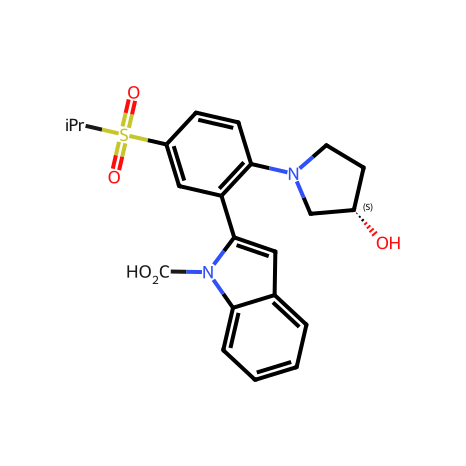 CC(C)S(=O)(=O)c1ccc(N2CC[C@H](O)C2)c(-c2cc3ccccc3n2C(=O)O)c1